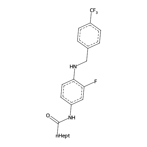 CCCCCCCC(=O)Nc1ccc(NCc2ccc(C(F)(F)F)cc2)c(F)c1